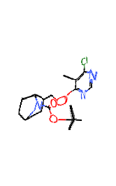 Cc1c(Cl)ncnc1OCC1CC2CCC1N2C(=O)OC(C)(C)C